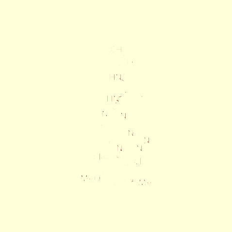 C=CC(=O)N[C@H]1CCOC[C@H]1Nc1ncc2c(n1)-n1cnnc1N(c1c(Cl)c(OC)cc(OC)c1Cl)C2